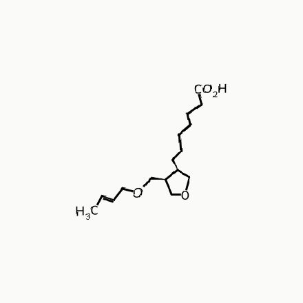 CC=CCOC[C@@H]1COC[C@@H]1CCCCCCC(=O)O